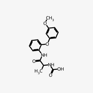 COc1cccc(Oc2ccccc2NC(=O)C(C)NC(=O)O)c1